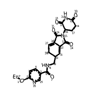 CCOc1ccc(C(=O)NCC2C=C3C(=O)N(C4CCC(=O)NC4=O)C(=O)C3=CC2)cn1